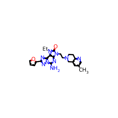 CCn1c(=O)n(CCN2CCc3ncc(C)cc3C2)c2nc(N)n3nc(-c4ccco4)nc3c21